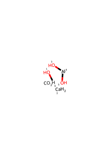 O=C(O)O.[CaH2].[OH][Al][OH]